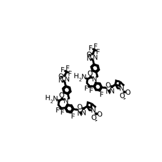 COC(=O)N1CC2CC(c3nnc(-c4cc5c(cc4F)C(F)(F)CC(N)C(=O)N5Cc4ccc(-c5noc(C(F)(F)F)n5)cc4)o3)(C2)C1.COC(=O)N1CC2CC(c3nnc(-c4cc5c(cc4F)C(F)(F)C[C@@H](N)C(=O)N5Cc4ccc(-c5noc(C(F)(F)F)n5)cc4)o3)(C2)C1